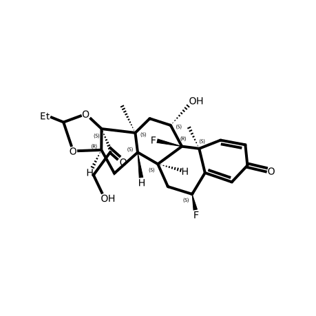 CCC1O[C@@H]2C[C@H]3[C@@H]4C[C@H](F)C5=CC(=O)C=C[C@]5(C)[C@@]4(F)[C@@H](O)C[C@]3(C)[C@]2(C(=O)CO)O1